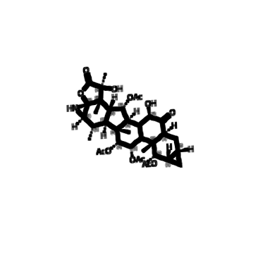 CC(=O)O[C@H]1[C@@H]2[C@H]([C@H](C)[C@H]3N[C@]34OC(=O)[C@@](C)(O)[C@]24C)[C@]2(C)[C@@H]1C1C([C@H](OC(C)=O)[C@@H]2OC(C)=O)[C@]2(C)[C@H](C[C@@H]3C[C@@H]3[C@@H]2OC(C)=O)C(=O)[C@@H]1O